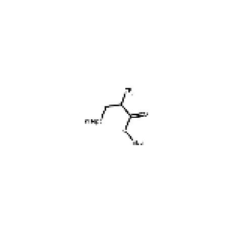 CCCCCCCCC(C(=O)OCCCC)C(F)(F)F